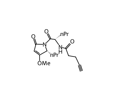 C#CCCC(=O)N[C@@H](CCC)C(=O)N1C(=O)C=C(OC)[C@H]1CCC